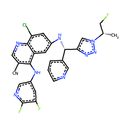 C[C@@H](CF)n1cc([C@@H](Nc2cc(Cl)c3ncc(C#N)c(Nc4cnc(F)c(F)c4)c3c2)c2cccnc2)nn1